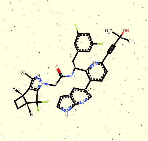 CC(C)(O)C#Cc1ccc(-c2cnc3[nH]ccc3c2)c([C@H](Cc2cc(F)cc(F)c2)NC(=O)Cn2nc(C(F)(F)F)c3c2C(F)(F)[C@@H]2CC[C@H]32)n1